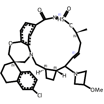 COC1CN(C2/C=C/C[C@H](C)C/[SH](=O)=N\C(=O)c3ccc4c(c3)N(C[C@@H]3CC[C@@H]23)C[C@@]2(CCCc3cc(Cl)ccc32)CO4)C1